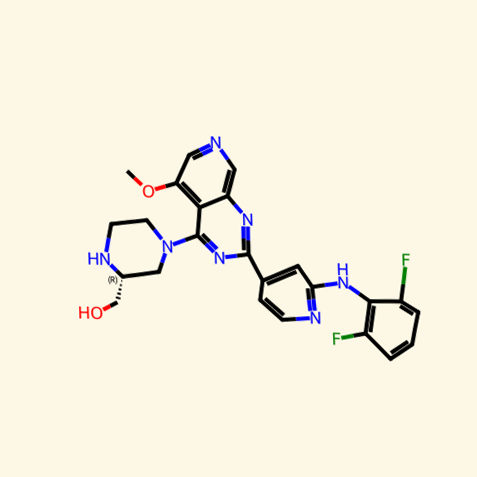 COc1cncc2nc(-c3ccnc(Nc4c(F)cccc4F)c3)nc(N3CCN[C@@H](CO)C3)c12